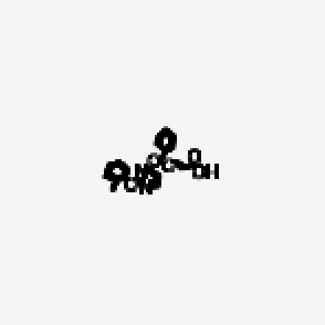 Cc1ccccc1Oc1nccc(OC(OC=CC(=O)O)c2ccccc2)n1